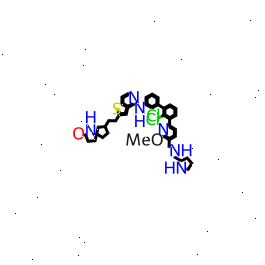 COc1nc(-c2cccc(-c3cccc(Nc4nccc5sc(CCC6CCC7(CCC(=O)N7)C6)cc45)c3Cl)c2Cl)ccc1CNCC1CCCN1